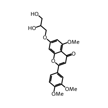 COc1ccc(-c2cc(=O)c3c(OC)cc(OCC(O)CO)cc3o2)cc1OC